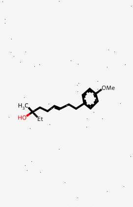 CCC(C)(O)CCC=CCCc1ccc(OC)cc1